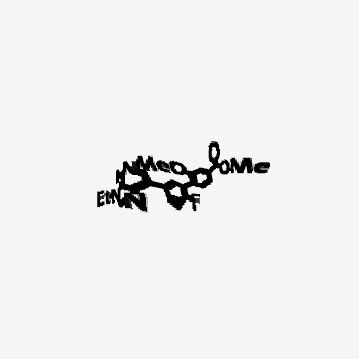 CCn1cnc2c(-c3ccc(F)c(-c4ccc(C(=O)OC)cc4OC)c3)cnnc21